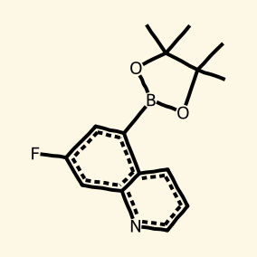 CC1(C)OB(c2cc(F)cc3ncccc23)OC1(C)C